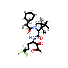 CC(=O)C(=O)C(CCC(F)(F)F)NC(=O)[C@@H]1[C@@H]2[C@H](CN1C(=O)[C@@H](C)C1CCCCC1)C2(C)C